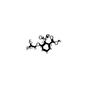 COC(=O)c1cccc(OCC(F)F)c1[N+](=O)[O-]